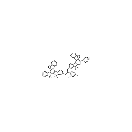 Cc1ccc(C(Cc2ccc3c(c2)C(C)(C)c2cc(-c4ccncc4)c4oc5ccccc5c4c2-3)Cc2ccc3c(c2)C(C)(C)c2c4c(c5oc6ccccc6c5c2-3)-c2ccccc2C4(C)C)c(C)c1